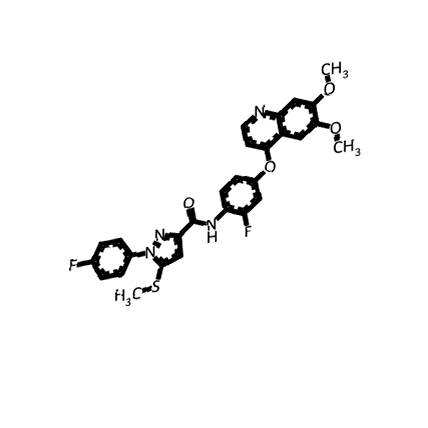 COc1cc2nccc(Oc3ccc(NC(=O)c4cc(SC)n(-c5ccc(F)cc5)n4)c(F)c3)c2cc1OC